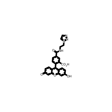 O=C(NCCn1ccnn1)c1ccc(-c2c3ccc(=O)cc-3oc3cc(O)ccc23)c(C(=O)O)c1